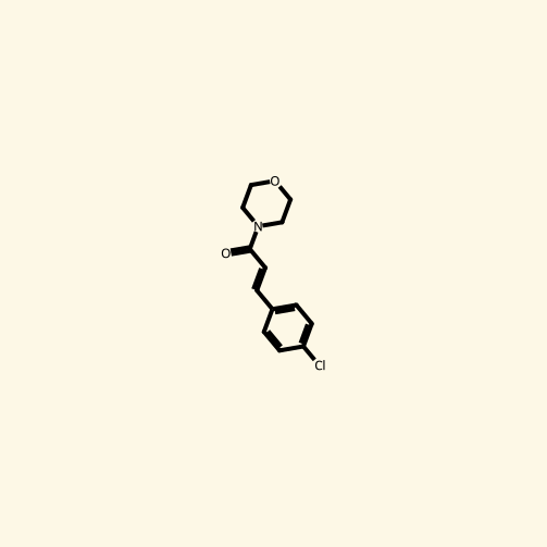 O=C(/C=C/c1ccc(Cl)cc1)N1CCOCC1